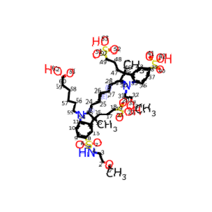 COCCNS(=O)(=O)c1ccc2c(c1)C(C)(CCCS(=O)(=O)O)\C(=C/C=C/C=C/C1=[N+](CCOC)c3ccc(S(=O)(=O)O)cc3C1(C)CCCS(=O)(=O)O)N2CCCCCC(=O)O